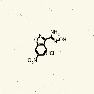 Cl.NC(=NO)c1noc2cc([N+](=O)[O-])ccc12